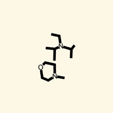 CCN(C(C)C)C(C)C.CN1CCOCC1